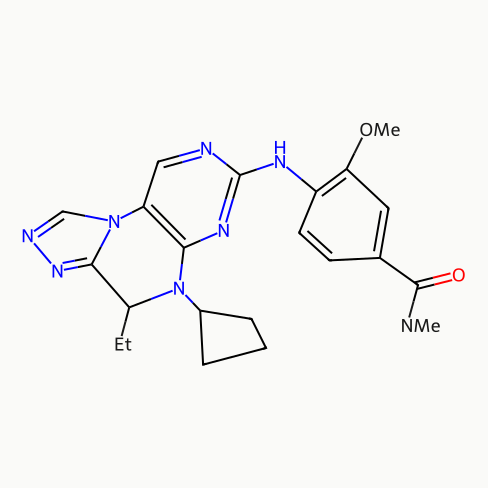 CCC1c2nncn2-c2cnc(Nc3ccc(C(=O)NC)cc3OC)nc2N1C1CCC1